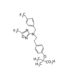 CC(C)(Oc1ccc(CCN(Cc2ccc(C(F)(F)F)cc2)c2noc(C(F)(F)F)n2)cc1)C(=O)O